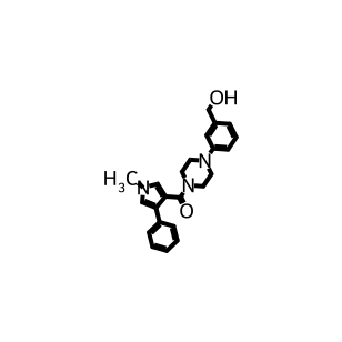 Cn1cc(C(=O)N2CCN(c3cccc(CO)c3)CC2)c(-c2ccccc2)c1